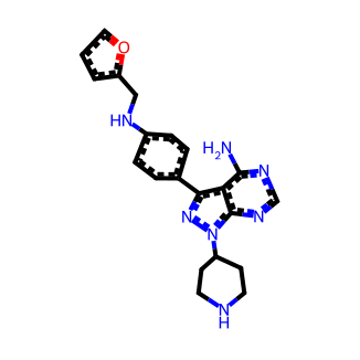 Nc1ncnc2c1c(-c1ccc(NCc3ccco3)cc1)nn2C1CCNCC1